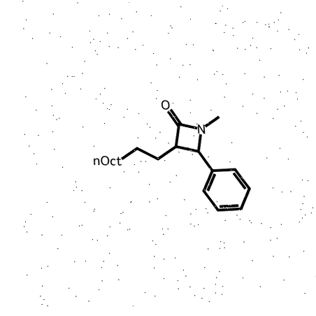 CCCCCCCCCCC1C(=O)N(C)C1c1ccccc1